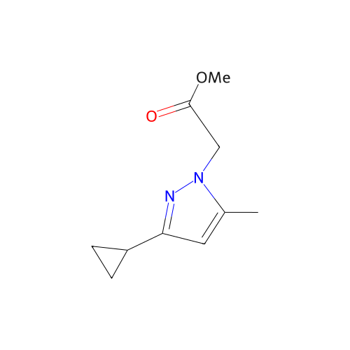 COC(=O)Cn1nc(C2CC2)cc1C